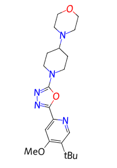 COc1cc(-c2nnc(N3CCC(N4CCOCC4)CC3)o2)ncc1C(C)(C)C